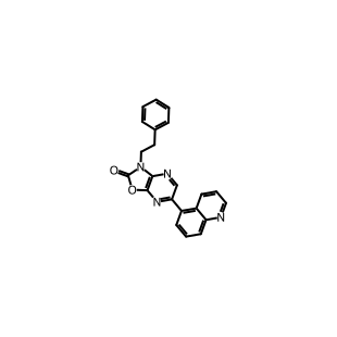 O=c1oc2nc(-c3cccc4ncccc34)cnc2n1CCc1ccccc1